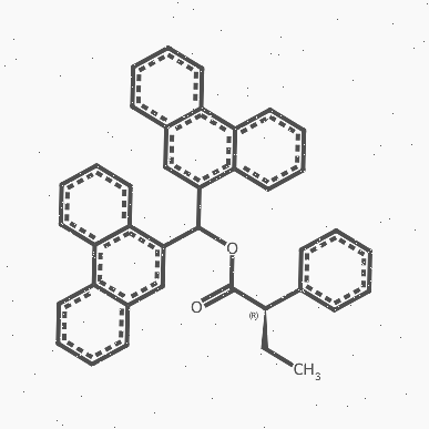 CC[C@@H](C(=O)OC(c1cc2ccccc2c2ccccc12)c1cc2ccccc2c2ccccc12)c1ccccc1